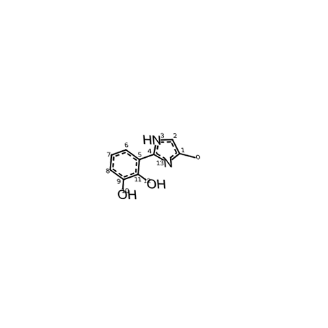 Cc1c[nH]c(-c2cccc(O)c2O)n1